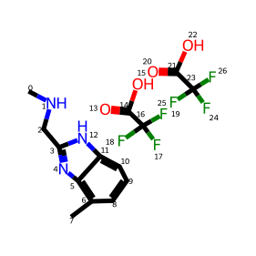 CNCc1nc2c(C)cccc2[nH]1.O=C(O)C(F)(F)F.O=C(O)C(F)(F)F